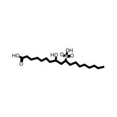 CCCCCCCCC(CC(O)CCCCCCC(=O)O)S(=O)(=O)O